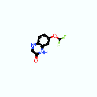 O=c1cnc2ccc(OC(F)F)cc2[nH]1